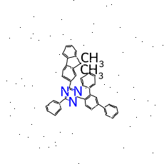 CC1(C)c2ccccc2-c2ccc(-c3nc(-c4ccccc4)nc(-c4ccc(-c5ccccc5)cc4-c4ccccc4)n3)cc21